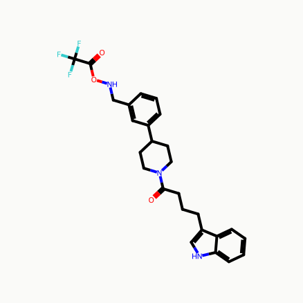 O=C(CCCc1c[nH]c2ccccc12)N1CCC(c2cccc(CNOC(=O)C(F)(F)F)c2)CC1